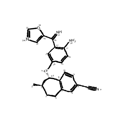 C[C@@H]1CCc2cc(C#N)ccc2[C@H]1Oc1ccc(N)c(C(=N)c2cnco2)c1